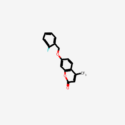 O=c1cc(C(F)(F)F)c2ccc(OCc3ccccc3F)cc2o1